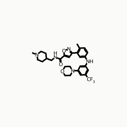 Cc1ccc(Nc2cc(N3CCOCC3)cc(C(F)(F)F)c2)cc1-c1cc(C(=O)NCC2CCN(C)CC2)on1